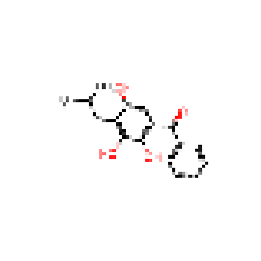 CC(C)Cc1c(O)cc(C(=O)c2ccccc2)c(O)c1O